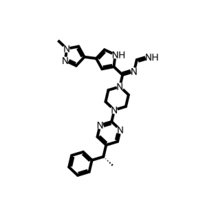 C[C@H](c1ccccc1)c1cnc(N2CCN(/C(=N/C=N)c3cc(-c4cnn(C)c4)c[nH]3)CC2)nc1